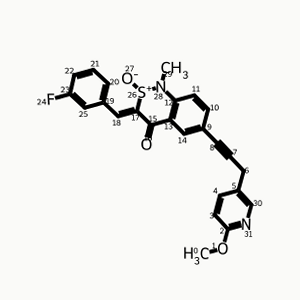 COc1ccc(CC#Cc2ccc3c(c2)C(=O)/C(=C/c2cccc(F)c2)[S+]([O-])N3C)cn1